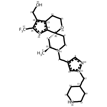 C[C@H]1C[C@@]2(CCN1Cc1cnn(CC3CCNCC3)c1)OCCc1c2sc(C(F)(F)F)c1CO